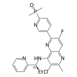 CC[C@H](Nc1c(Cl)c(C)nc2cc(F)c(-c3ccc(P(C)(C)=O)nc3)nc12)c1ccccn1